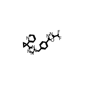 FC(F)c1nnc(-c2ccc(Cn3nnc(C4(c5ccccn5)CC4)n3)cc2)o1